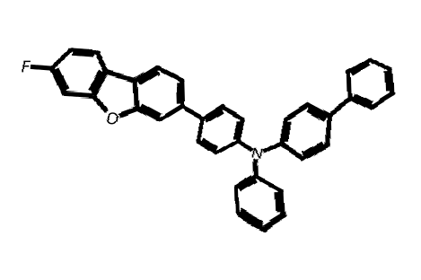 Fc1ccc2c(c1)oc1cc(-c3ccc(N(c4ccccc4)c4ccc(-c5ccccc5)cc4)cc3)ccc12